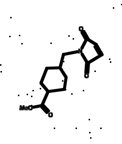 COC(=O)C1CCC(CN2C(=O)C=CC2=O)CC1